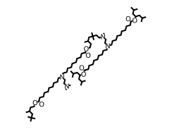 CC(C)CC(CC(C)C)OC(=O)CCCCCCCCCN(CCCCCCCCCC(=O)OC(CC(C)C)CC(C)C)CCN(C)CCC(C)(C)CC(C)CCOC(=O)CCCCCCCCCN(CCCCCCCCCC(=O)OCCC(C)CC(C)(C)C)CCN(C)C